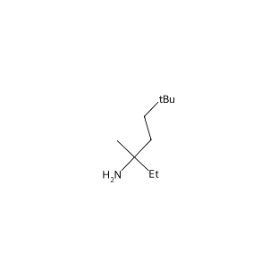 CCC(C)(N)CCC(C)(C)C